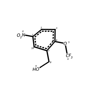 O=[N+]([O-])c1ccc(OC(F)(F)F)c(CO)c1